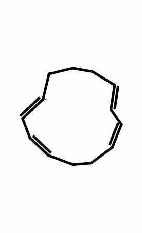 [C]1=C/C=C\CC/C=C\C=C\CCC/1